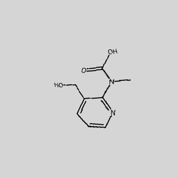 CN(C(=O)O)c1ncccc1CO